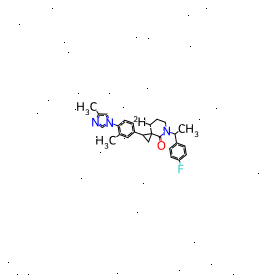 [2H]C1CCN(C(C)c2ccc(F)cc2)C(=O)C12CC2c1ccc(-n2cnc(C)c2)c(C)c1